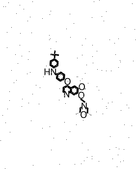 COc1cc2c(Oc3ccc(Nc4ccc(C(C)(C)C)cc4)cc3)ccnc2cc1OCCN1C[C@@H](C)O[C@@H](C)C1